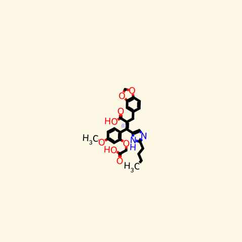 CCCCc1ncc(/C(=C(\Cc2ccc3c(c2)OCO3)C(=O)O)c2ccc(OC)cc2OCC(=O)O)[nH]1